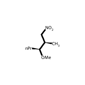 CCC[C@H](OC)[C@H](C)C[N+](=O)[O-]